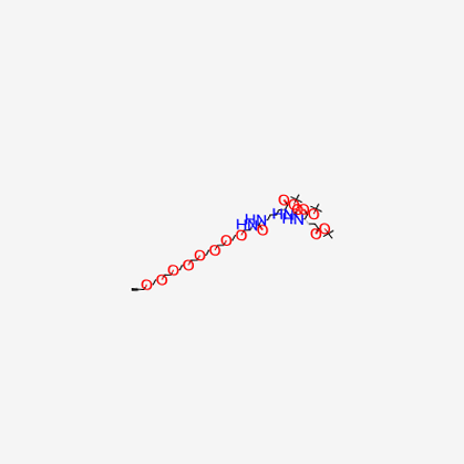 C#CCOCCOCCOCCOCCOCCOCCOCCOCCNC(=O)NCCCC[C@H](NC(=O)N[C@@H](CCC(=O)OC(C)(C)C)C(=O)OC(C)(C)C)C(=O)OC(C)(C)C